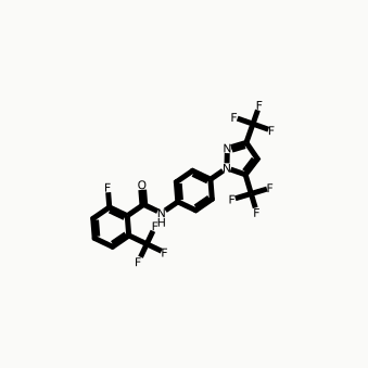 O=C(Nc1ccc(-n2nc(C(F)(F)F)cc2C(F)(F)F)cc1)c1c(F)cccc1C(F)(F)F